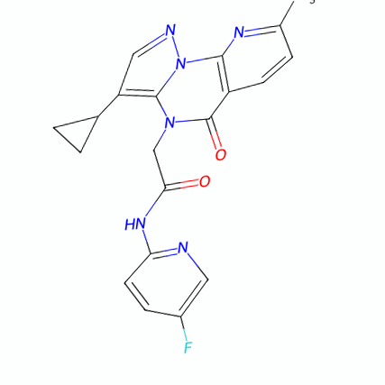 O=C(Cn1c(=O)c2ccc(C(F)(F)F)nc2n2ncc(C3CC3)c12)Nc1ccc(F)cn1